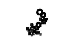 CC(=O)n1c(C(C)(C)C)cc2cc(NC(=O)C3(c4ccc5c(c4)CCCCC5)CC3)ccc21